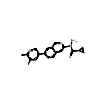 Cc1ncc(-c2ccc3cc(N(N)C(=O)C4CC4)ncc3c2)cc1F